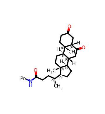 CC(C)NC(=O)CC[C@H](C)[C@@H]1CC[C@@H]2[C@H]3CC(=O)[C@H]4CC(=O)CC[C@@]4(C)[C@@H]3CC[C@]21C